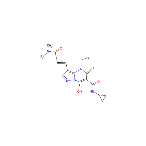 CC(C)Cn1c(=O)c(C(=O)NC2CC2)c(O)n2ncc(/C=C/C(=O)N(C)C)c12